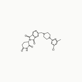 Cc1cc(Cl)cc(N2CCN(Cc3ccc4c(c3)C(=O)N(C3CCC(=O)NC3=O)C4=O)CC2)n1